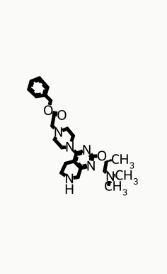 C[C@@H](CN(C)C)Oc1nc2c(c(N3CCN(CC(=O)OCc4ccccc4)CC3)n1)CCNC2